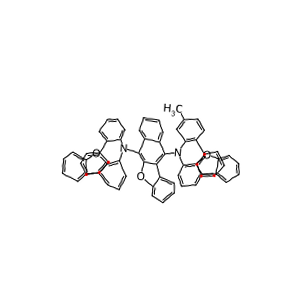 Cc1ccc(-c2ccccc2)c(N(c2cccc3c2oc2ccccc23)c2c3ccccc3c(N(c3ccccc3-c3ccccc3)c3cccc4c3oc3ccccc34)c3oc4ccccc4c23)c1